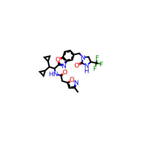 Cc1cc(CC(=O)NC(c2nc3cc(CN4CC(C(F)(F)F)NC4=O)ccc3o2)C(C2CC2)C2CC2)on1